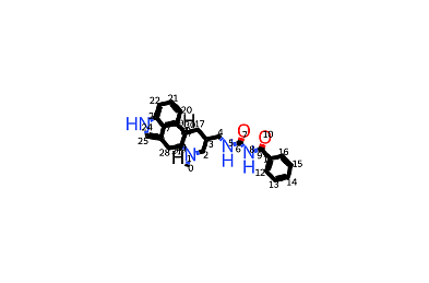 CN1CC(CNC(=O)NC(=O)c2ccccc2)C[C@@H]2c3cccc4[nH]cc(c34)C[C@H]21